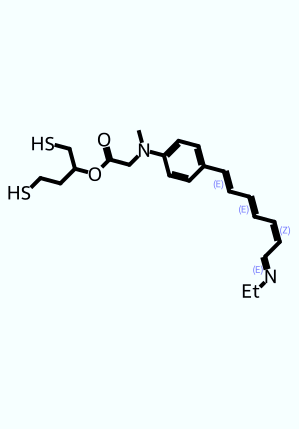 CC/N=C/C=C\C=C\C=C\c1ccc(N(C)CC(=O)OC(CS)CCS)cc1